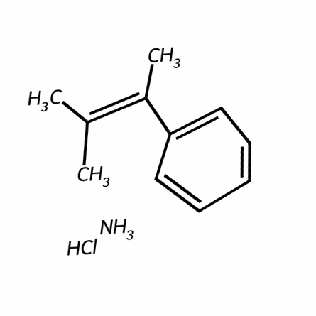 CC(C)=C(C)c1ccccc1.Cl.N